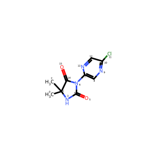 CC1(C)NC(=O)N(c2cnc(Cl)cn2)C1=O